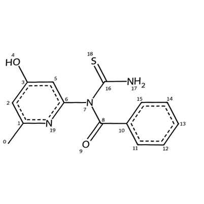 Cc1cc(O)cc(N(C(=O)c2ccccc2)C(N)=S)n1